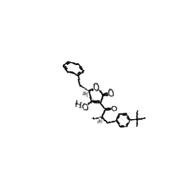 C[C@H](Cc1ccc(C(C)(C)C)cc1)C(=O)C1=C(O)[C@@H](Cc2ccccc2)OC1=O